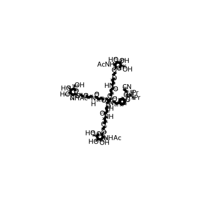 CC(=O)N[C@H]1[C@H](OCCOCCNC(=O)CCOCC(COCCC(=O)NCCOCCO[C@@H]2O[C@H](CO)[C@H](O)[C@H](O)[C@H]2NC(C)=O)(COCCC(=O)NCCOCCO[C@@H]2O[C@H](CO)[C@H](O)[C@H](O)[C@H]2NC(C)=O)NC(=O)Cc2ccc(OP(OCCC#N)N(C(C)C)C(C)C)cc2)O[C@H](CO)[C@H](O)[C@@H]1O